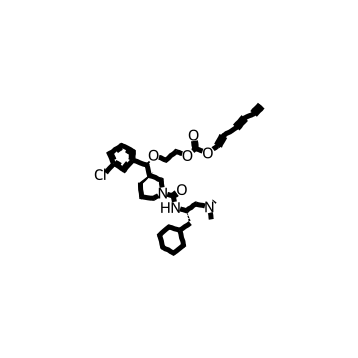 C#CC#CC#COC(=O)OCCO[C@@H](c1cccc(Cl)c1)[C@@H]1CCCN(C(=O)N[C@@H](CC2CCCCC2)CN(C)C)C1